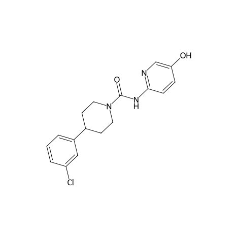 O=C(Nc1ccc(O)cn1)N1CCC(c2cccc(Cl)c2)CC1